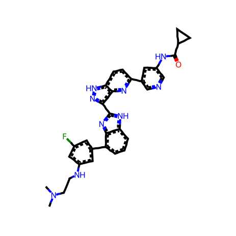 CN(C)CCNc1cc(F)cc(-c2cccc3[nH]c(-c4n[nH]c5ccc(-c6cncc(NC(=O)C7CC7)c6)nc45)nc23)c1